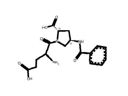 NC(CCC(=O)O)C(=O)N1C[C@H](NC(=O)c2ccccc2)C[C@H]1C(=O)O